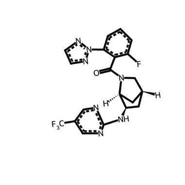 O=C(c1c(F)cccc1-n1nccn1)N1C[C@@H]2C[C@@H](Nc3ncc(C(F)(F)F)cn3)[C@@H]1C2